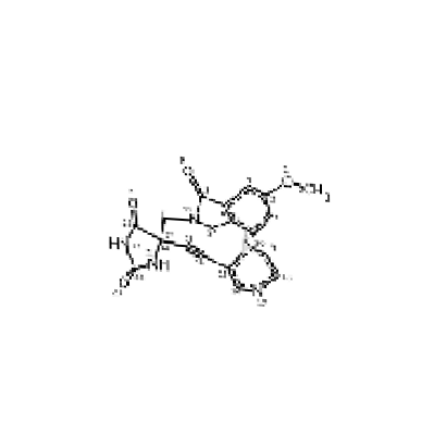 COc1ccc2c(c1)C(=O)N(C[C@@]1(C#Cc3cnccn3)NC(=O)NC1=O)C2